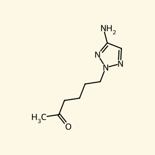 CC(=O)CCCCn1ncc(N)n1